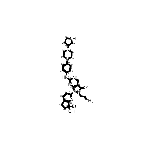 C=CCn1c(=O)c2cnc(Nc3ccc(N4CCN(C5CCNC5)CC4)cc3)nc2n1-c1ccc2c(n1)[C@@](O)(CC)CC2